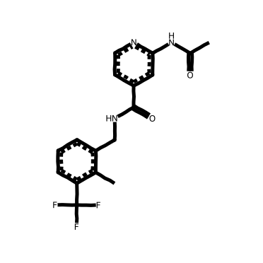 CC(=O)Nc1cc(C(=O)NCc2cccc(C(F)(F)F)c2C)ccn1